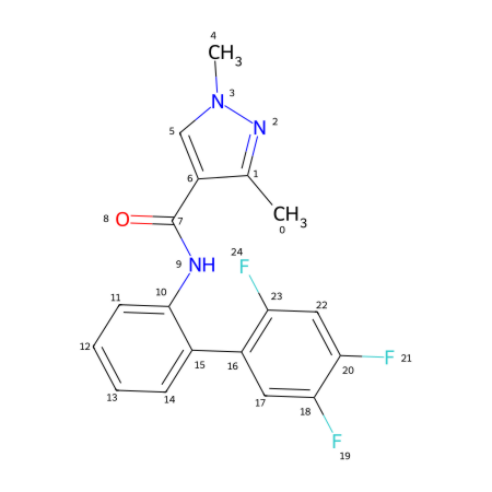 Cc1nn(C)cc1C(=O)Nc1ccccc1-c1cc(F)c(F)cc1F